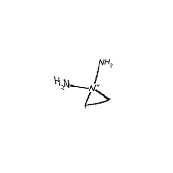 N[N+]1(N)CC1